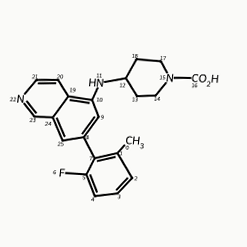 Cc1cccc(F)c1-c1cc(NC2CCN(C(=O)O)CC2)c2ccncc2c1